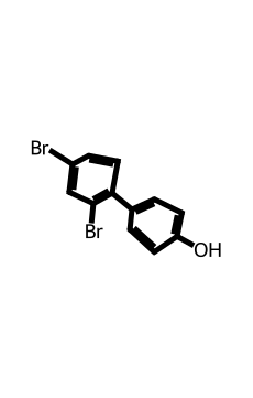 Oc1ccc(-c2ccc(Br)cc2Br)cc1